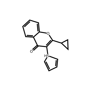 O=c1c([SH]2C=CC=C2)c(C2CC2)oc2ccccc12